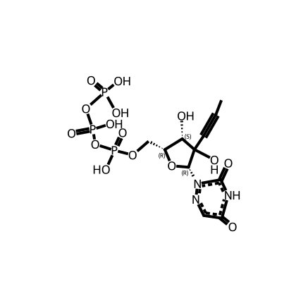 CC#CC1(O)[C@@H](O)[C@@H](COP(=O)(O)OP(=O)(O)OP(=O)(O)O)O[C@H]1n1ncc(=O)[nH]c1=O